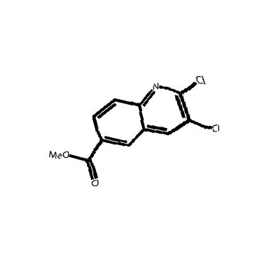 COC(=O)c1ccc2nc(Cl)c(Cl)cc2c1